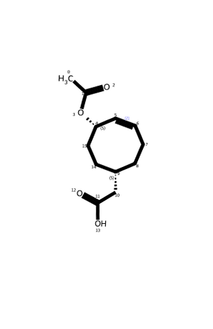 CC(=O)O[C@@H]1/C=C\CC[C@H](CC(=O)O)CC1